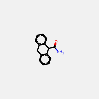 NC(=O)C1c2ccccc2Cc2ccccc21